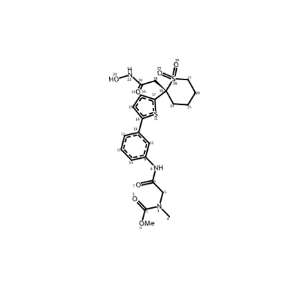 COC(=O)N(C)CC(=O)Nc1cccc(-c2ccc([C@@]3(CC(=O)NO)CCCCS3(=O)=O)s2)c1